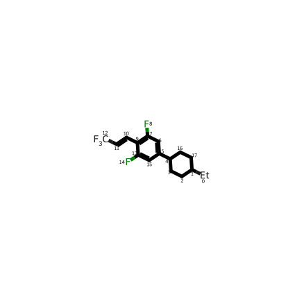 CCC1CCC(c2cc(F)c(/C=C/C(F)(F)F)c(F)c2)CC1